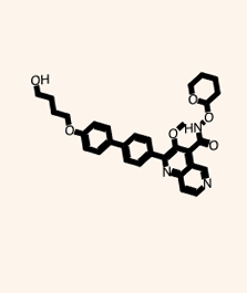 COc1c(-c2ccc(-c3ccc(OCCCCO)cc3)cc2)nc2ccncc2c1C(=O)NOC1CCCCO1